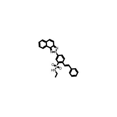 CCNS(=O)(=O)c1cc(-n2nc3ccc4ccccc4c3n2)ccc1C=Cc1ccccc1